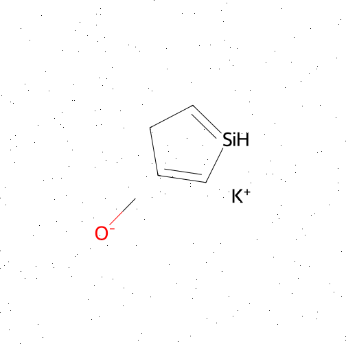 C1=C[SiH]=CC1.C[O-].[K+]